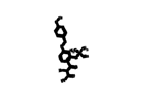 CCOc1ccc(COc2ccc(C(=O)C(Br)C(=O)C(C)C)c(O[Si](C)(C)C(C)(C)C)c2)cc1